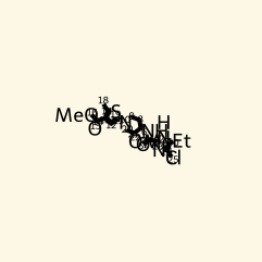 CCc1[nH]c(C(=O)NC2CCN(c3cc(C(=O)OC)c(C)s3)CC2OC)nc1Cl